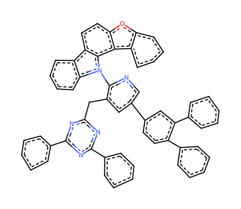 c1ccc(-c2nc(Cc3cc(-c4ccc(-c5ccccc5)c(-c5ccccc5)c4)cnc3-n3c4ccccc4c4ccc5oc6ccccc6c5c43)nc(-c3ccccc3)n2)cc1